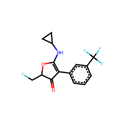 O=C1C(c2cccc(C(F)(F)F)c2)=C(NC2CC2)OC1CF